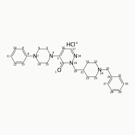 Cl.O=c1c(N2CCN(c3ccccc3)CC2)ccnn1CC1CCN(Cc2ccccc2)CC1